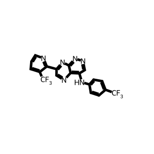 FC(F)(F)c1ccc(Nc2cnnc3nc(-c4ncccc4C(F)(F)F)cnc23)cc1